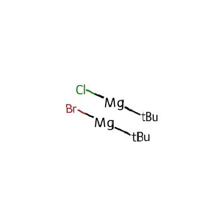 C[C](C)(C)[Mg][Br].C[C](C)(C)[Mg][Cl]